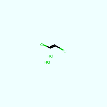 Cl.Cl.ClC=CCl